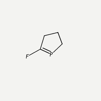 FC1=PCCC1